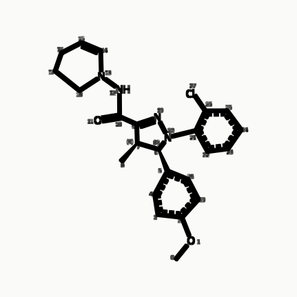 COc1ccc([C@H]2[C@@H](C)C(C(=O)NN3C=CCCC3)=NN2c2ccccc2Cl)cc1